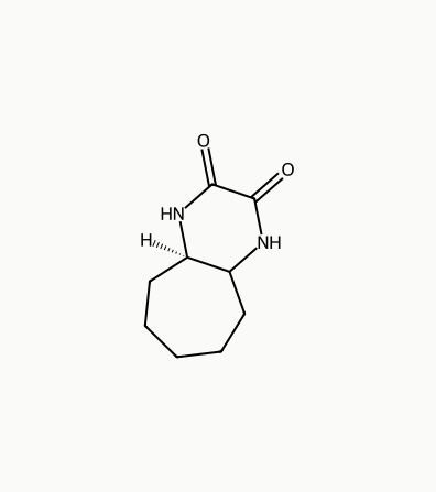 O=C1NC2CCCCC[C@H]2NC1=O